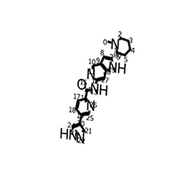 CN1CCCC[C@@H]1c1cc2cnc(NC(=O)c3ccc(-c4cn[nH]c4)cn3)cc2[nH]1